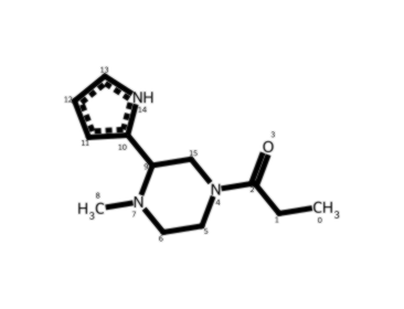 CCC(=O)N1CCN(C)C(c2ccc[nH]2)C1